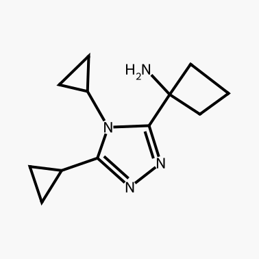 NC1(c2nnc(C3CC3)n2C2CC2)CCC1